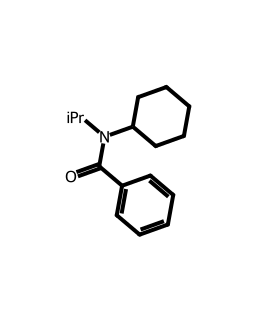 CC(C)N(C(=O)c1ccccc1)C1CCCCC1